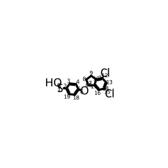 OSc1ccc(O[C@@H]2CCc3c(Cl)cc(Cl)cc32)cc1